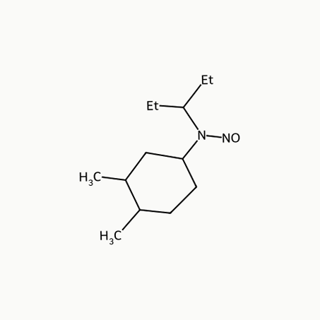 CCC(CC)N(N=O)C1CCC(C)C(C)C1